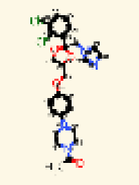 CC(=O)N1CCN(c2ccc(OCC3CO[C@](Cn4ccnc4)(c4cccc(Cl)c4Cl)O3)cc2)CC1